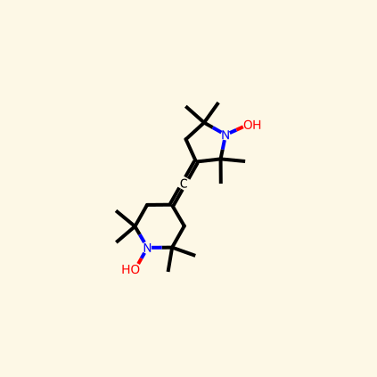 CC1(C)CC(=C=C2CC(C)(C)N(O)C2(C)C)CC(C)(C)N1O